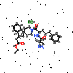 CCOC(=O)CC1CC2(CCN(C(=O)C(CCCc3ccccc3)NC(=O)C(C)(C)N)CC2)c2ccccc21.Cl